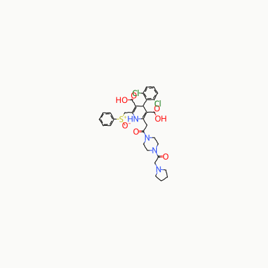 O=C(O)C1=C(CC(=O)N2CCN(C(=O)CN3CCCC3)CC2)NC(C[S+]([O-])c2ccccc2)=C(C(=O)O)C1c1c(Cl)cccc1Cl